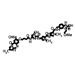 C=C1C[C@H]2C=Nc3cc(OCCCC(=O)Nc4cn(C)c(C(=O)Nc5cc(C(=O)Nc6cc(C(=O)NCc7ccc(NP(=O)(O)OCCOC)cc7)n(C)c6)n(C)c5)n4)c(OC)cc3C(=O)N2C1